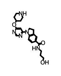 O=C(NCCCO)c1ccc2c(c1)CCN2c1cc(OC2CCNCC2)ncn1